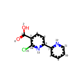 O=C(O)c1ccc(-c2ccccn2)nc1Cl